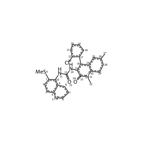 CSc1ccc2ncccc2c1NC(=O)Nc1c(-c2ccccc2Cl)c2cc(C)ccc2n(C)c1=O